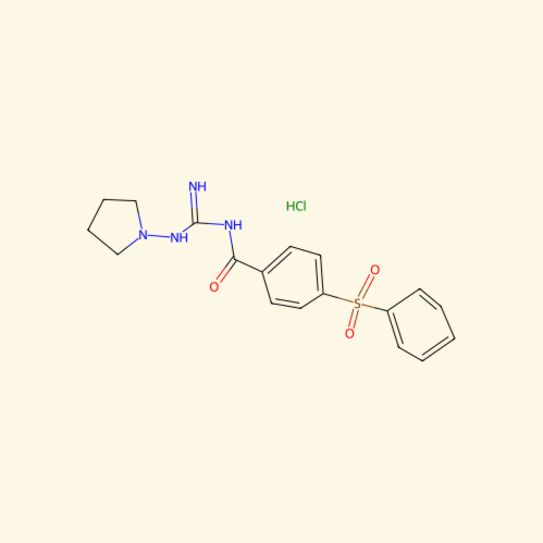 Cl.N=C(NC(=O)c1ccc(S(=O)(=O)c2ccccc2)cc1)NN1CCCC1